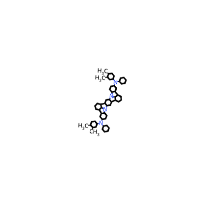 Cc1ccc(N(c2ccccc2)c2ccc3c(c2)c2cccc4c5cc6c(cc5n3c24)c2cccc3c4cc(N(c5ccccc5)c5ccc(C)c(C)c5)ccc4n6c32)cc1C